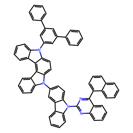 c1ccc(-c2cc(-c3ccccc3)cc(-n3c4ccccc4c4c5c6ccccc6n(-c6ccc7c(c6)c6ccccc6n7-c6nc(-c7cccc8ccccc78)c7ccccc7n6)c5ccc43)c2)cc1